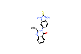 CCCCc1nc2ccccc2c(=O)n1-c1ccc2[nH]c(=S)[nH]c2c1